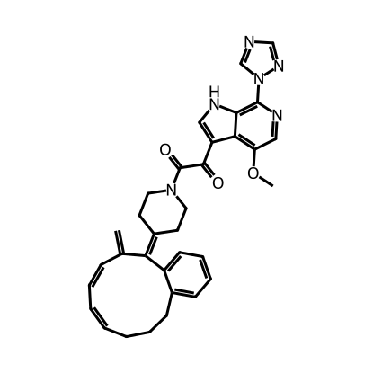 C=C1/C=C\C=C/CCCc2ccccc2C1=C1CCN(C(=O)C(=O)c2c[nH]c3c(-n4cncn4)ncc(OC)c23)CC1